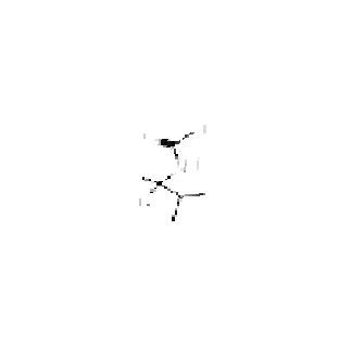 CC(C)C(C)(N)NC(N)=O